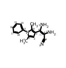 Cc1cc(/C(N)=C(/N)C#N)c(C)n1-c1ccccc1